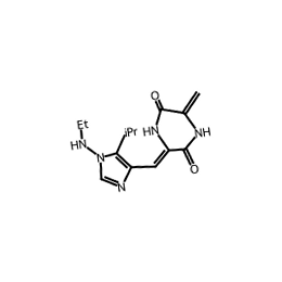 C=c1[nH]c(=O)c(=Cc2ncn(NCC)c2C(C)C)[nH]c1=O